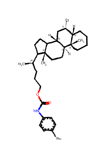 CC[C@H]1C[C@H]2C3CCC([C@H](C)CCCOC(=O)Nc4ccc(C(C)(C)C)cc4)[C@@]3(C)CC[C@@H]2[C@@]2(C)CCCC[C@@H]12